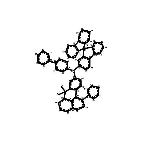 CC1(C)c2cc(N(c3ccc(-c4ccccc4)cc3)c3ccc4c(c3)C3(c5ccccc5-c5ccccc53)c3ccccc3-4)ccc2-c2c(-c3ccccc3)ccc3cccc1c23